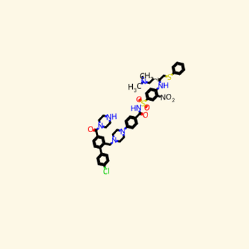 CN(C)CC[C@H](CSc1ccccc1)Nc1ccc(S(=O)(=O)NC(=O)c2ccc(N3CCN(Cc4cc(C(=O)N5CCNCC5)ccc4-c4ccc(Cl)cc4)CC3)cc2)cc1[N+](=O)[O-]